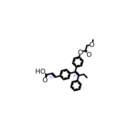 CC/C(=C(/c1ccc(/C=C/C(=O)O)cc1)c1ccc(OC(=O)COC)cc1)c1ccccc1